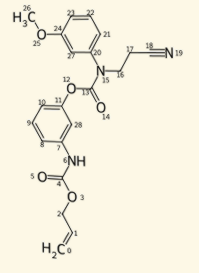 C=CCOC(=O)Nc1cccc(OC(=O)N(CCC#N)c2cccc(OC)c2)c1